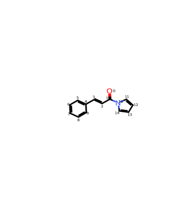 O=C(C=Cc1ccccc1)n1cccc1